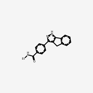 CCNC(=O)c1ccc(-c2n[nH]c3c2Cc2ccccc2-3)cc1